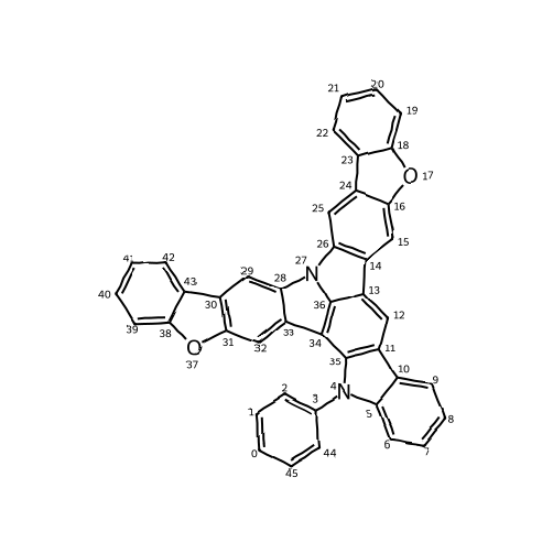 c1ccc(-n2c3ccccc3c3cc4c5cc6oc7ccccc7c6cc5n5c6cc7c(cc6c(c32)c45)oc2ccccc27)cc1